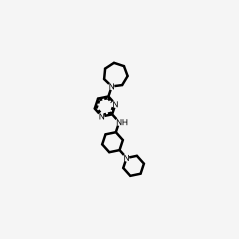 c1cc(N2CCCCCC2)nc(NC2CCCC(N3CCCCC3)C2)n1